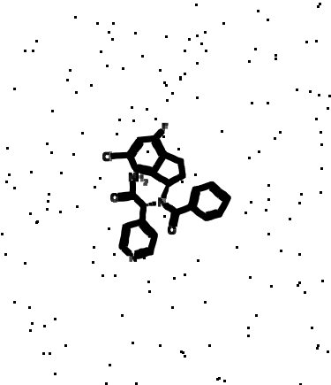 NC(=O)[C@@H](c1ccncc1)N(C(=O)c1ccccc1)[C@@H]1CCc2c(F)cc(Cl)cc21